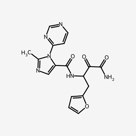 Cc1ncc(C(=O)NC(Cc2ccco2)C(=O)C(N)=O)n1-c1ccncn1